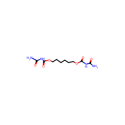 NC(=O)NC(=O)OCCCCCCOC(=O)NC(N)=O